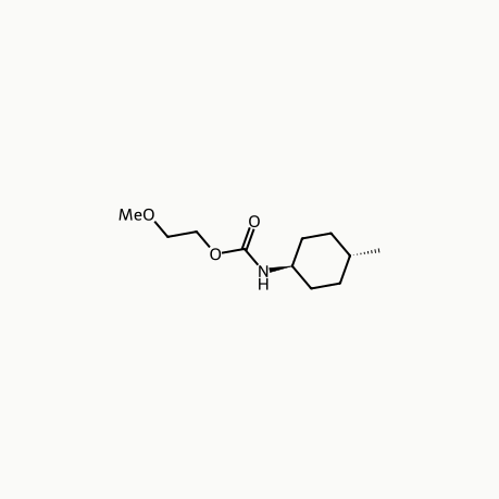 COCCOC(=O)N[C@H]1CC[C@H](C)CC1